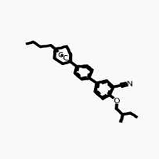 CCCCC12CCC(c3ccc(-c4ccc(OCC(C)CC)c(C#N)c4)cc3)(CC1)CC2